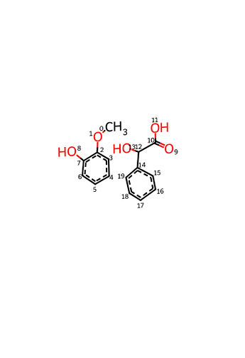 COc1ccccc1O.O=C(O)C(O)c1ccccc1